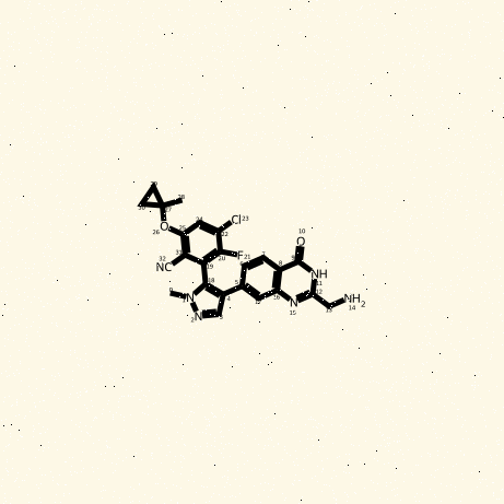 Cn1ncc(-c2ccc3c(=O)[nH]c(CN)nc3c2)c1-c1c(F)c(Cl)cc(OC2(C)CC2)c1C#N